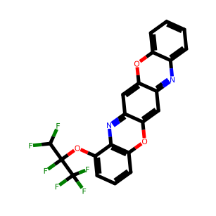 FC(F)C(F)(Oc1cccc2c1N=c1cc3c(cc1O2)=Nc1ccccc1O3)C(F)(F)F